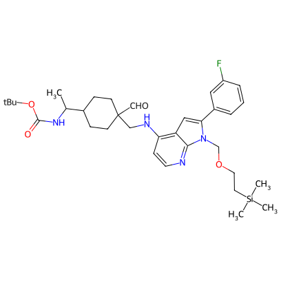 CC(NC(=O)OC(C)(C)C)C1CCC(C=O)(CNc2ccnc3c2cc(-c2cccc(F)c2)n3COCC[Si](C)(C)C)CC1